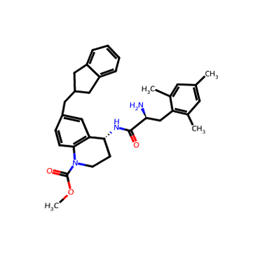 COC(=O)N1CC[C@@H](NC(=O)[C@@H](N)Cc2c(C)cc(C)cc2C)c2cc(CC3Cc4ccccc4C3)ccc21